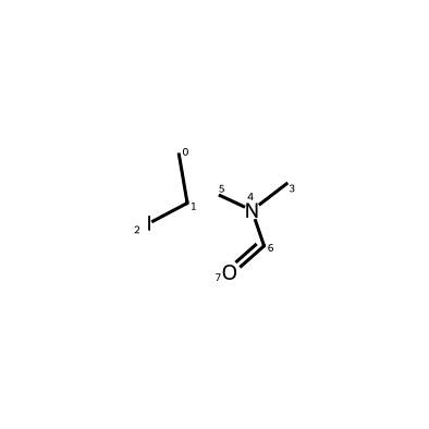 CCI.CN(C)C=O